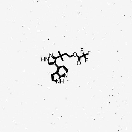 CC(C)(CCOC(=O)C(F)(F)F)c1n[nH]cc1-c1ccnc2[nH]ccc12